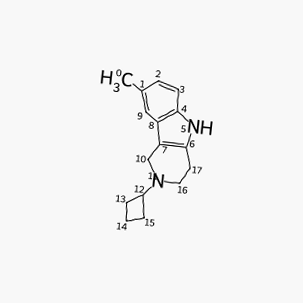 Cc1ccc2[nH]c3c(c2c1)CN(C1CCC1)CC3